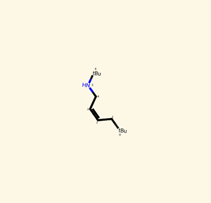 CC(C)(C)C/C=C\CNC(C)(C)C